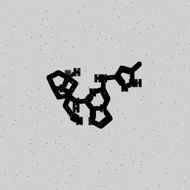 Cc1cc(Nc2cn3ccnc3c(NC3CC4CC[C@@H](C3)N4CCC#N)n2)n[nH]1